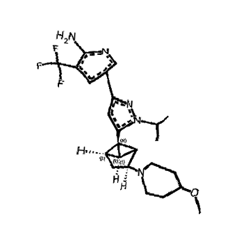 COC1CCN([C@H]2C[C@@H]3[C@@H]4C2[C@@]34c2cc(-c3cnc(N)c(C(F)(F)F)c3)nn2C(C)C)CC1